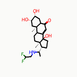 CC(NCC(F)F)[C@H]1CC[C@@]2(O)C3=CC(=O)C4C[C@@H](O)[C@@H](O)C[C@]4(C)C3CC[C@]12C